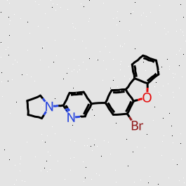 Brc1cc(-c2ccc(N3CCCC3)nc2)cc2c1oc1ccccc12